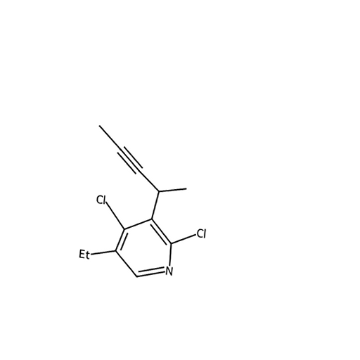 CC#CC(C)c1c(Cl)ncc(CC)c1Cl